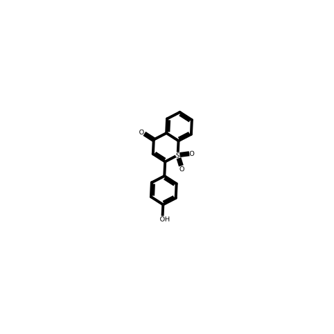 O=C1C=C(c2ccc(O)cc2)S(=O)(=O)c2ccccc21